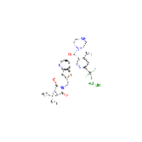 Cc1cc(C(F)(F)F)nc(-c2ccnc3cc(CN4C(=O)C5C(C4=O)C5(C)C)sc23)c1C(=O)N1CCNCC1.Cl.Cl